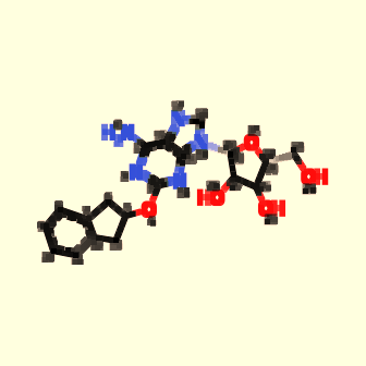 Nc1nc(OC2Cc3ccccc3C2)nc2c1ncn2[C@@H]1O[C@H](CO)C(O)C1O